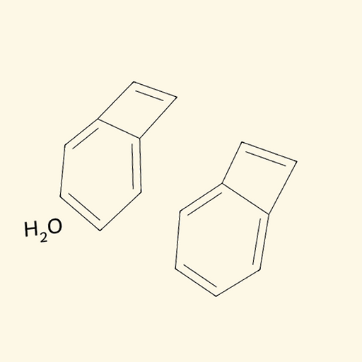 C1=Cc2ccccc21.C1=Cc2ccccc21.O